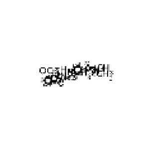 C[N+](C)(C)CC1CC(c2ccc3nc(CNC(=O)C4(CC(=O)[O-])Cc5ccccc5C4)sc3c2)C1